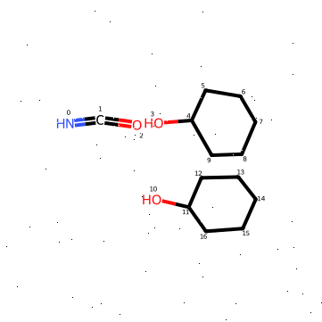 N=C=O.OC1CCCCC1.OC1CCCCC1